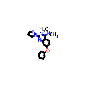 CN(C)c1nc(-n2cccn2)nc2cc(Oc3ccccc3)ccc12